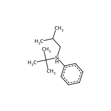 CC(C)C[SiH](c1ccccc1)C(C)(C)C